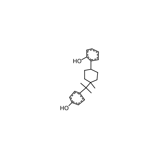 CC1(C(C)(C)c2ccc(O)cc2)CCC(c2ccccc2O)CC1